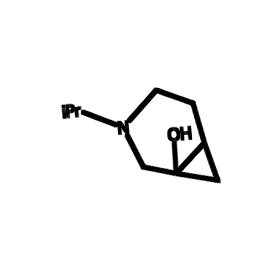 CC(C)N1CCC2CC2(O)C1